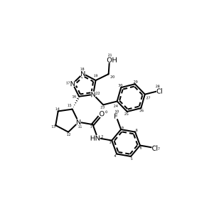 O=C(Nc1ccc(Cl)cc1F)N1CCC[C@@H]1c1nnc(CO)n1Cc1ccc(Cl)cc1